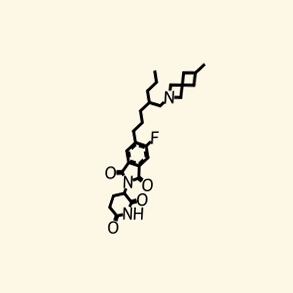 CCCC(CCCc1cc2c(cc1F)C(=O)N(C1CCC(=O)NC1=O)C2=O)CN1CC2(CC(C)C2)C1